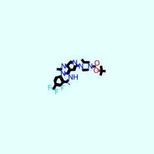 Cc1nc(N[C@H](C)c2cccc(C(F)F)c2F)c2cc(N3CCN(C(=O)OC(C)(C)C)CC3C)ncc2n1